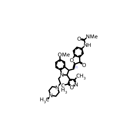 CNC(=O)Nc1ccc2c(c1)C(=O)/C(=C/C1c3cc(OC)ccc3N(CCN3CCN(C)CC3)C1c1c(C)noc1C)O2